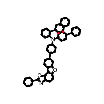 c1ccc(-c2ccc(N(c3ccc(-c4ccc5c(c4)oc4ccc6nc(-c7ccccc7)oc6c45)cc3)c3ccccc3-c3ccc4ccccc4c3)cc2)cc1